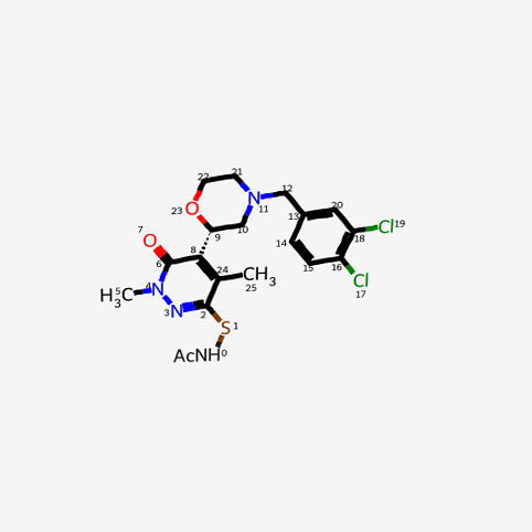 CC(=O)NSc1nn(C)c(=O)c([C@H]2CN(Cc3ccc(Cl)c(Cl)c3)CCO2)c1C